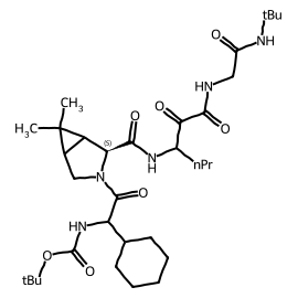 CCCC(NC(=O)[C@@H]1C2C(CN1C(=O)C(NC(=O)OC(C)(C)C)C1CCCCC1)C2(C)C)C(=O)C(=O)NCC(=O)NC(C)(C)C